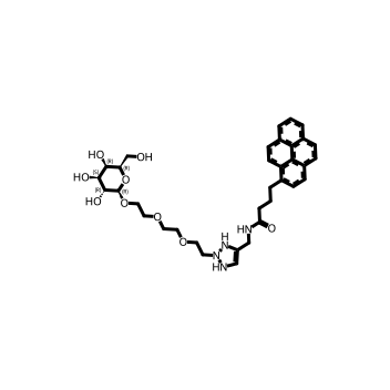 O=C(CCCc1ccc2ccc3cccc4ccc1c2c34)NCC1=CNN(CCOCCOCCO[C@@H]2O[C@H](CO)[C@H](O)[C@H](O)[C@H]2O)N1